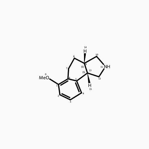 COc1cccc2c1CC[C@@H]1CNC[C@H]21